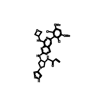 C=CC(=O)N[C@H]1CN(c2cn[nH]c2)C[C@H]1Nc1ncc2cc(-c3c(Cl)c(OC)cc(OC)c3Cl)nc(NC3COC3)c2n1